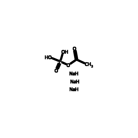 CC(=O)OP(=O)(O)O.[NaH].[NaH].[NaH]